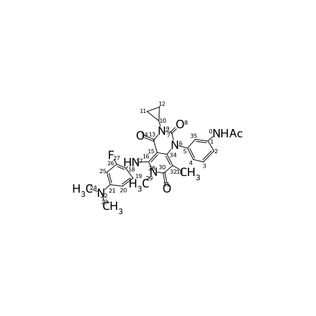 CC(=O)Nc1cccc(-n2c(=O)n(C3CC3)c(=O)c3c(Nc4ccc(N(C)C)cc4F)n(C)c(=O)c(C)c32)c1